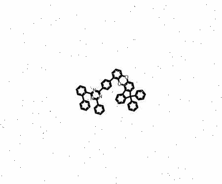 c1ccc(-c2nc(-c3ccc(-c4cccc5c4Oc4c(ccc6c4-c4ccccc4C6(c4ccccc4)c4ccccc4)O5)cc3)nc(-c3ccccc3-c3ccccc3)n2)cc1